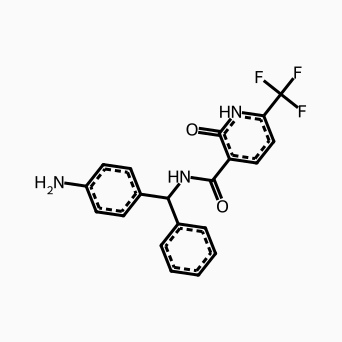 Nc1ccc(C(NC(=O)c2ccc(C(F)(F)F)[nH]c2=O)c2ccccc2)cc1